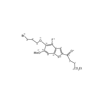 CCOC(=O)CCC(=O)c1cc2c(F)c(OCCCBr)c(OC)cc2s1